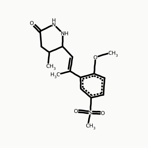 COc1ccc(S(C)(=O)=O)cc1/C(C)=C/C1NNC(=O)CC1C